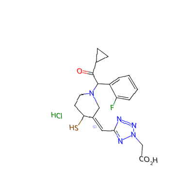 Cl.O=C(O)Cn1nnc(/C=C2\CN(C(C(=O)C3CC3)c3ccccc3F)CCC2S)n1